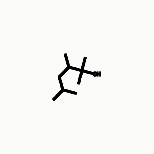 CC(C)CC(C)C(C)(C)O